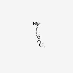 N#CC(F)=CC=CCC[C@H]1CC[C@H](OCc2ccc(C(F)(F)F)cc2)CC1